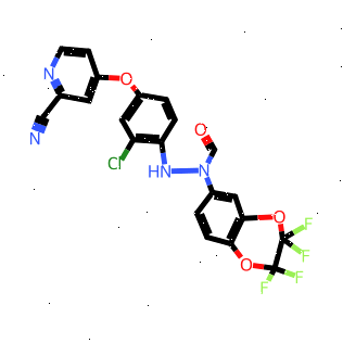 N#Cc1cc(Oc2ccc(NN(C=O)c3ccc4c(c3)OC(F)(F)C(F)(F)O4)c(Cl)c2)ccn1